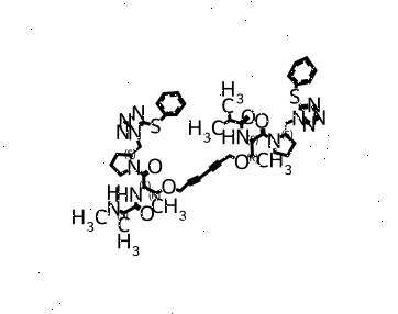 CN[C@@H](C)C(=O)N[C@H](C(=O)N1CCC[C@H]1Cn1nnnc1Sc1ccccc1)[C@@H](C)OCC#CC#CCO[C@H](C)[C@H](NC(=O)C(C)C)C(=O)N1CCC[C@H]1Cn1nnnc1Sc1ccccc1